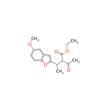 CCOC(=O)C(C(C)=O)C(C)c1cc2cc(OC)ccc2o1